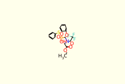 CCOC(=O)CN(C(=O)C(F)(F)F)C(Oc1ccccc1)P(=O)(O)OSc1ccccc1